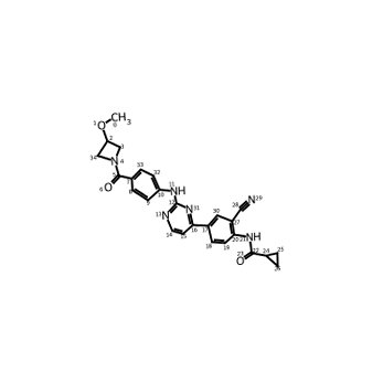 COC1CN(C(=O)c2ccc(Nc3nccc(-c4ccc(NC(=O)C5CC5)c(C#N)c4)n3)cc2)C1